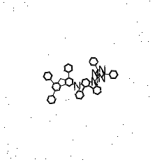 c1ccc(-c2cc(-c3ccccc3)c3c(c2)-c2cc(-n4c5ccccc5c5c6c7ccccc7n(-c7nc(-c8ccccc8)nc(-c8ccccc8)n7)c6ccc54)cc(-c4ccccc4)c2C3)cc1